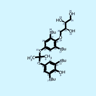 CC(C)(Sc1cc(C(C)(C)C)c(O)c(C(C)(C)C)c1)Sc1cc(C(C)(C)C)c(OC[C@H](O)[C@@H](O)CO)c(C(C)(C)C)c1